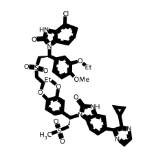 CCOc1cc([C@@H](CS(=O)(=O)CCOc2ccc([C@@H](CS(C)(=O)=O)n3c(=O)[nH]c4cc(-c5nccnc5C5CC5)ccc43)cc2OCC)n2c(=O)[nH]c3c(Cl)cccc32)ccc1OC